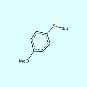 COc1ccc(SC(C)(C)C)cc1